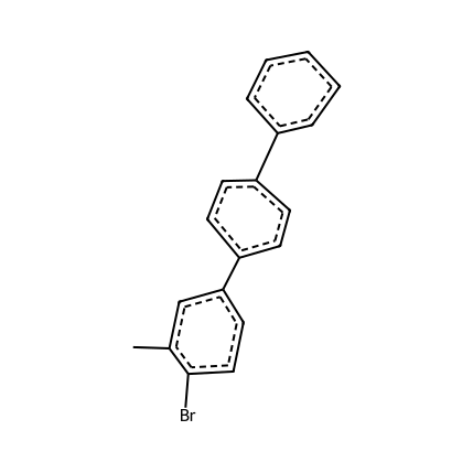 Cc1cc(-c2ccc(-c3ccccc3)cc2)ccc1Br